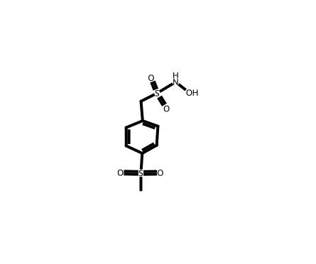 CS(=O)(=O)c1ccc(CS(=O)(=O)NO)cc1